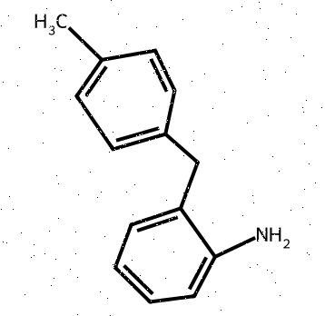 Cc1ccc(Cc2ccccc2N)cc1